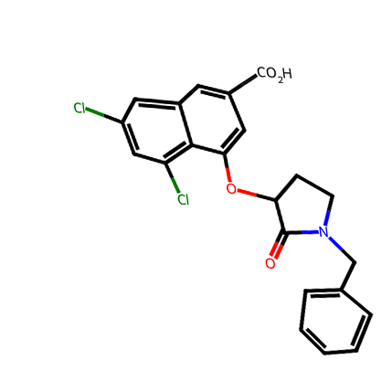 O=C(O)c1cc(OC2CCN(Cc3ccccc3)C2=O)c2c(Cl)cc(Cl)cc2c1